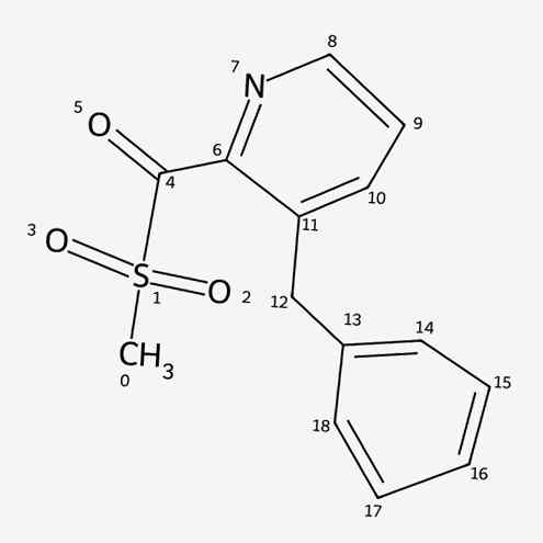 CS(=O)(=O)C(=O)c1ncccc1Cc1ccccc1